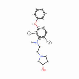 CN(CCN1CC[C@@H](O)C1)c1c([N+](=O)[O-])ccc(Oc2ccccc2)c1C(F)(F)F